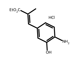 CCOC(=O)C(C)=Cc1ccc(N)c(O)c1.Cl